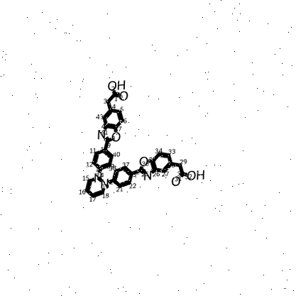 O=C(O)Cc1ccc2oc(-c3ccc(N4C=CC=CN4c4ccc(-c5nc6cc(CC(=O)O)ccc6o5)cc4)cc3)nc2c1